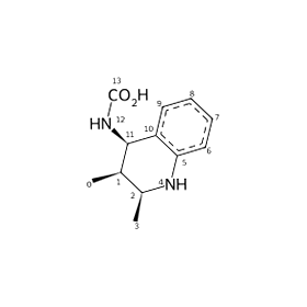 C[C@@H]1[C@H](C)Nc2ccccc2[C@@H]1NC(=O)O